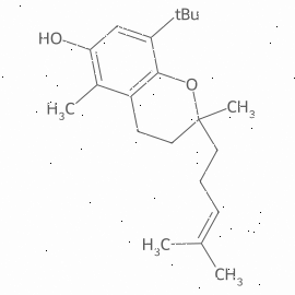 CC(C)=CCCC1(C)CCc2c(C)c(O)cc(C(C)(C)C)c2O1